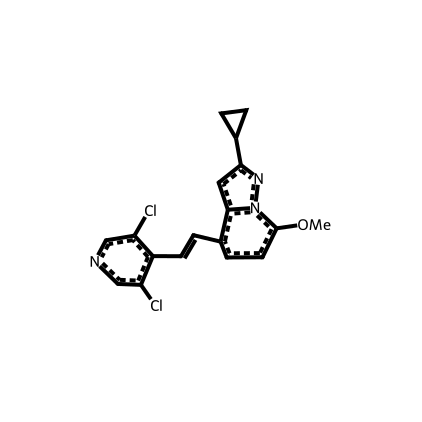 COc1ccc(C=Cc2c(Cl)cncc2Cl)c2cc(C3CC3)nn12